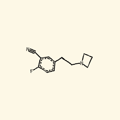 N#Cc1cc(CCN2CCC2)ccc1F